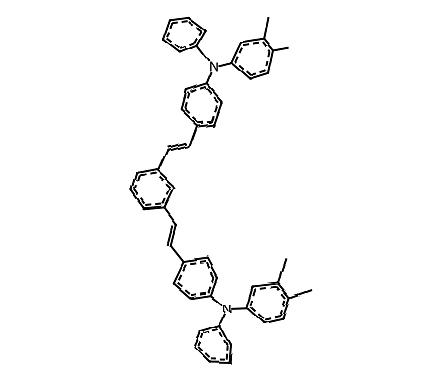 Cc1ccc(N(c2ccccc2)c2ccc(C=Cc3cccc(C=Cc4ccc(N(c5ccccc5)c5ccc(C)c(C)c5)cc4)c3)cc2)cc1C